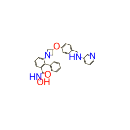 O=C(NO)c1cccc(N2CC(Oc3ccc(CNc4cccnc4)cc3)C2)c1-c1ccccc1